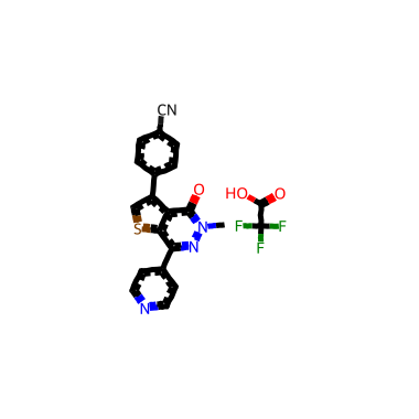 Cn1nc(-c2ccncc2)c2scc(-c3ccc(C#N)cc3)c2c1=O.O=C(O)C(F)(F)F